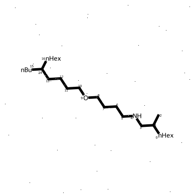 CCCCCCC(C)CNCCCCOCCCCC(CCCC)CCCCCC